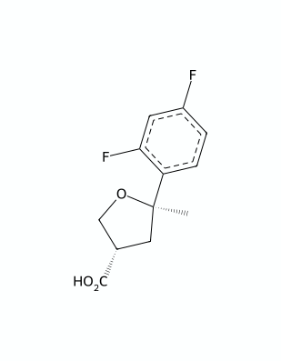 C[C@]1(c2ccc(F)cc2F)C[C@H](C(=O)O)CO1